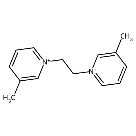 Cc1ccc[n+](CC[n+]2cccc(C)c2)c1